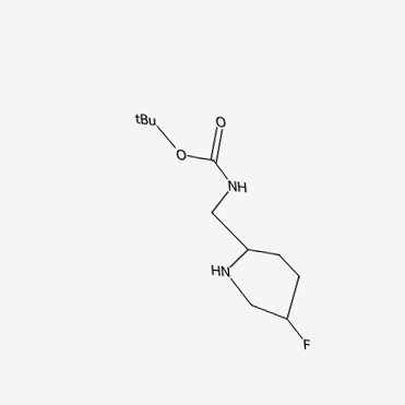 CC(C)(C)OC(=O)NCC1CCC(F)CN1